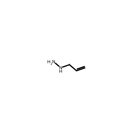 C=C[CH]NN